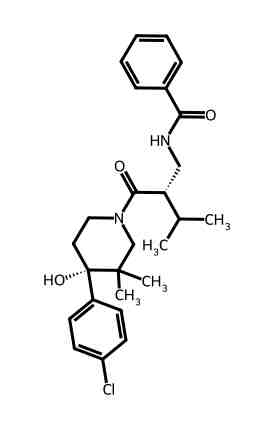 CC(C)[C@@H](CNC(=O)c1ccccc1)C(=O)N1CC[C@](O)(c2ccc(Cl)cc2)C(C)(C)C1